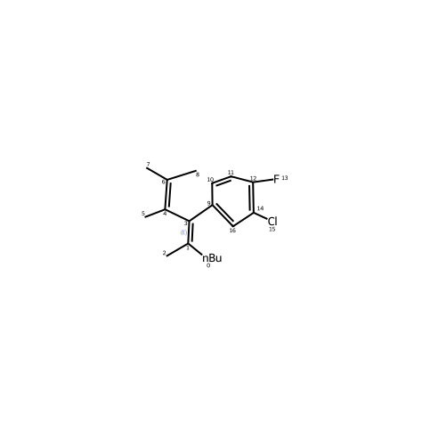 CCCC/C(C)=C(/C(C)=C(C)C)c1ccc(F)c(Cl)c1